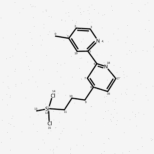 Cc1ccnc(-c2cc(CCC[Si](C)(Cl)Cl)ccn2)c1